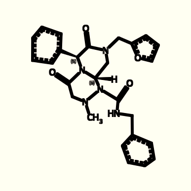 CN1CC(=O)N2[C@@H](c3ccccc3)C(=O)N(Cc3ccco3)C[C@@H]2N1C(=O)NCc1ccccc1